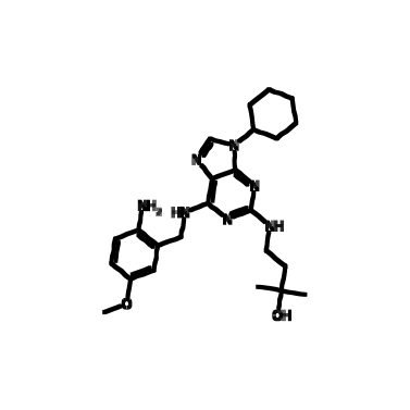 COc1ccc(N)c(CNc2nc(NCCC(C)(C)O)nc3c2ncn3C2CCCCC2)c1